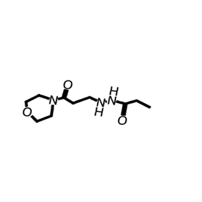 CCC(=O)NNCCC(=O)N1CCOCC1